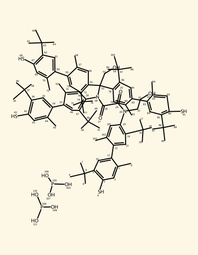 Cc1cc(S)c(C(C)(C)C)cc1-c1cc(C(C)(C)C)c(N(CCO)C(=O)C(=O)N(c2cc(C)c(-c3cc(C(C)(C)C)c(S)cc3C)cc2C(C)(C)C)C(CO)(c2cc(C)c(-c3cc(C(C)(C)C)c(S)cc3C)cc2C(C)(C)C)c2cc(C)c(-c3cc(C(C)(C)C)c(S)cc3C)cc2C(C)(C)C)cc1C.OP(O)O.OP(O)O